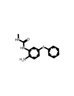 CNC(=O)Nc1cc(Sc2ccccc2)ccc1N